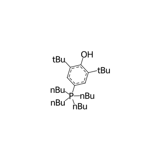 CCCCP(CCCC)(CCCC)(CCCC)c1cc(C(C)(C)C)c(O)c(C(C)(C)C)c1